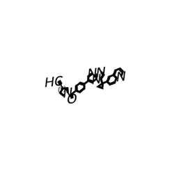 C#C[C@@H]1CCN(C(=O)c2ccc(-c3cnc4ncc(C5(c6ccc7ncccc7c6)CC5)n4c3)cc2)C1